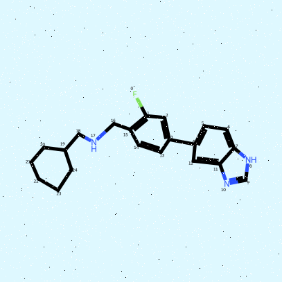 Fc1cc(-c2ccc3[nH]cnc3c2)ccc1CNCC1CCCCC1